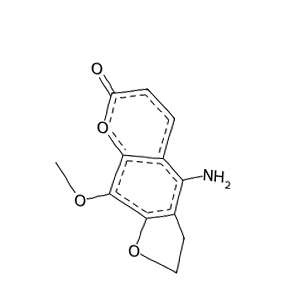 COc1c2c(c(N)c3ccc(=O)oc13)CCO2